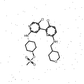 CS(=O)(=O)O[C@H]1CC[C@H](Nc2cc(-c3nc(NCC4CCOCC4)ccc3Cl)c(Cl)cn2)CC1